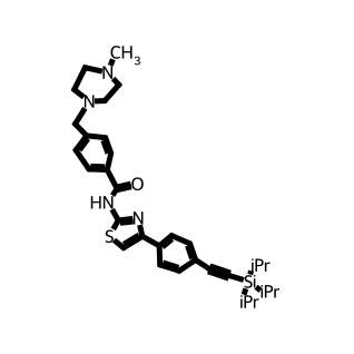 CC(C)[Si](C#Cc1ccc(-c2csc(NC(=O)c3ccc(CN4CCN(C)CC4)cc3)n2)cc1)(C(C)C)C(C)C